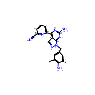 Cc1cc(Cn2ncc3c(-c4cccc(C#N)n4)nc(N)nc32)ccc1N